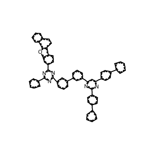 c1ccc(-c2ccc(-c3cc(-c4cccc(-c5cccc(-c6nc(-c7ccccc7)nc(-c7ccc8c(c7)oc7c9ccccc9ccc87)n6)c5)c4)nc(-c4ccc(-c5ccccc5)cc4)n3)cc2)cc1